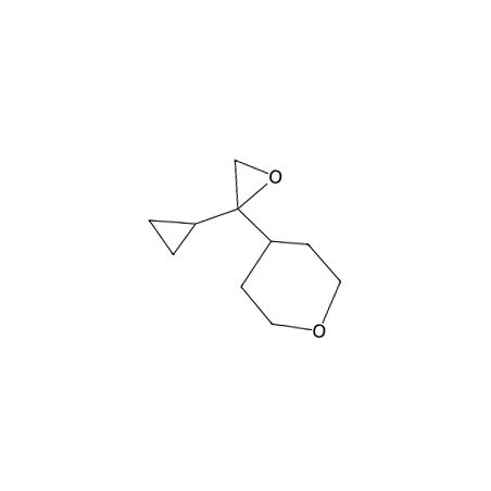 C1CC(C2(C3CC3)CO2)CCO1